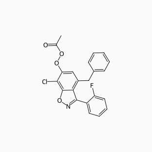 CC(=O)OOc1cc(Cc2ccccc2)c2c(-c3ccccc3F)noc2c1Cl